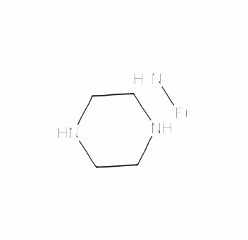 C1CNCCN1.CCN